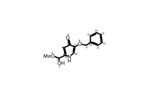 COC(O)c1cc(=O)c(OCc2ccccc2)c[nH]1